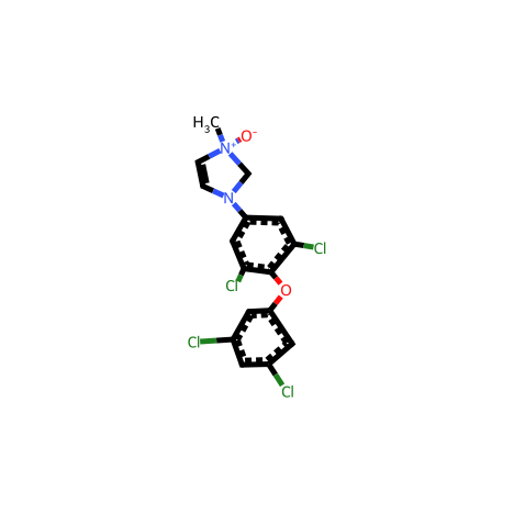 C[N+]1([O-])C=CN(c2cc(Cl)c(Oc3cc(Cl)cc(Cl)c3)c(Cl)c2)C1